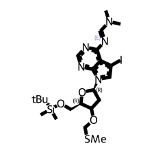 CSCOC1C[C@H](n2cc(I)c3c(/N=C/N(C)C)ncnc32)O[C@@H]1CO[Si](C)(C)C(C)(C)C